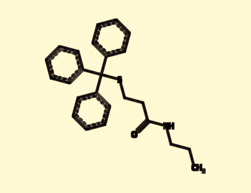 CCCNC(=O)CCSC(c1ccccc1)(c1ccccc1)c1ccccc1